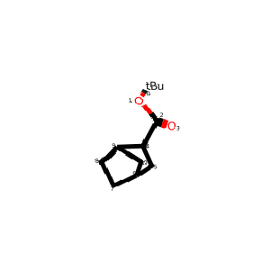 CC(C)(C)OC(=O)C1CC2[CH]CC1C2